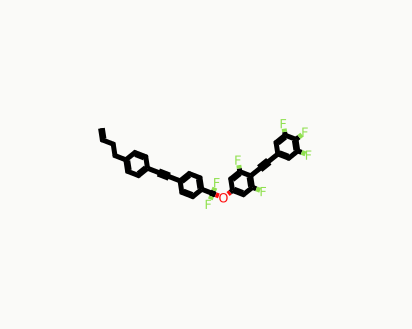 C=CCCc1ccc(C#Cc2ccc(C(F)(F)Oc3cc(F)c(C#Cc4cc(F)c(F)c(F)c4)c(F)c3)cc2)cc1